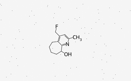 Cc1cc(CF)c2c(n1)C(O)CCCC2